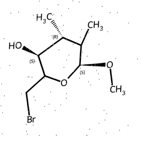 CO[C@H]1OC(CBr)[C@@H](O)[C@H](C)C1C